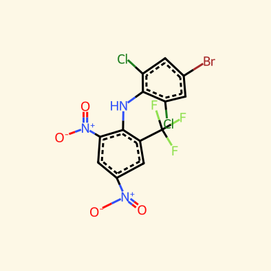 O=[N+]([O-])c1cc([N+](=O)[O-])c(Nc2c(Cl)cc(Br)cc2Cl)c(C(F)(F)F)c1